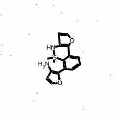 CS1(C)Nc2ccoc2-c2cccc(-c3occc3N)c21